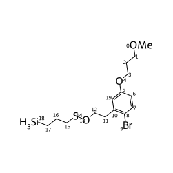 COCCCOc1ccc(Br)c(CCOSCCC[SiH3])c1